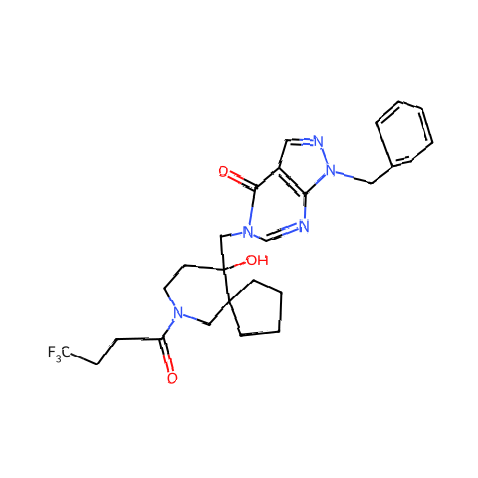 O=C(CCC(F)(F)F)N1CCC(O)(Cn2cnc3c(cnn3Cc3ccccc3)c2=O)C2(CCCC2)C1